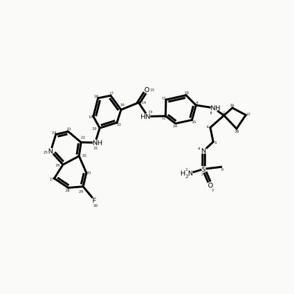 CS(N)(=O)=NCCC1(Nc2ccc(NC(=O)c3cccc(Nc4ccnc5ccc(F)cc45)c3)cc2)CCC1